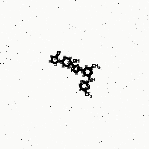 Cc1cc(Nc2nccc(C(F)(F)F)n2)cc(-c2cnc(C3(O)CCC(N4CCCC4=O)CC3)s2)c1